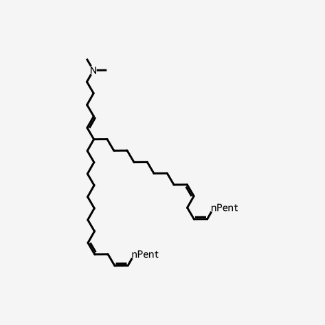 CCCCC/C=C\C/C=C\CCCCCCCCC(/C=C/CCCN(C)C)CCCCCCCC/C=C\C/C=C\CCCCC